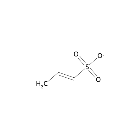 CC=CS([O])(=O)=O